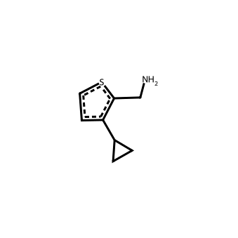 NCc1sccc1C1CC1